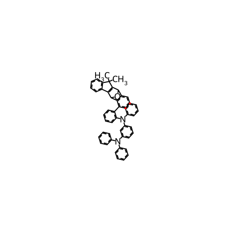 CC1(C)C2=C(c3ccccc31)C1OC2c2cccc(-c3ccccc3N(c3ccccc3)c3cccc(N(c4ccccc4)c4ccccc4)c3)c21